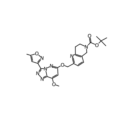 COc1cc(OCc2ccc3c(n2)CCN(C(=O)OC(C)(C)C)C3)nn2c(-c3cc(C)on3)nnc12